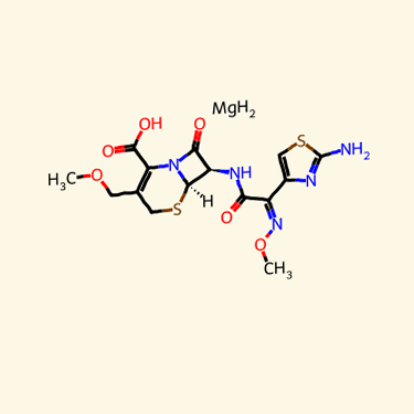 COCC1=C(C(=O)O)N2C(=O)[C@@H](NC(=O)/C(=N\OC)c3csc(N)n3)[C@H]2SC1.[MgH2]